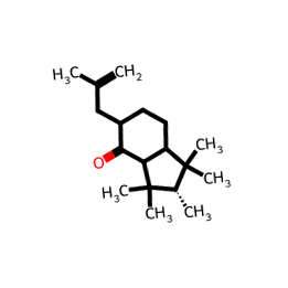 C=C(C)CC1CCC2C(C1=O)C(C)(C)[C@@H](C)C2(C)C